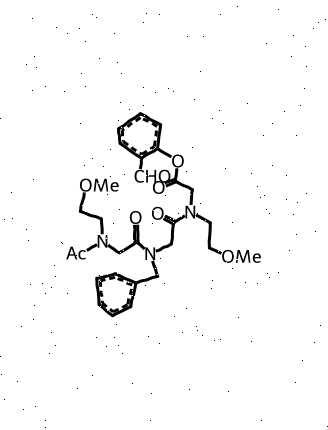 COCCN(CC(=O)N(CC(=O)N(CCOC)CC(=O)Oc1ccccc1C=O)Cc1ccccc1)C(C)=O